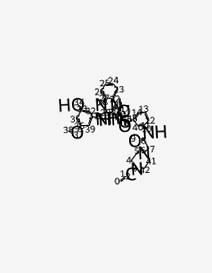 C=CCN1CCN(CC(=O)Nc2cccc(S(=O)(=O)Nc3nc4ccccc4nc3Nc3cc(O)cc(OC)c3)c2)CC1